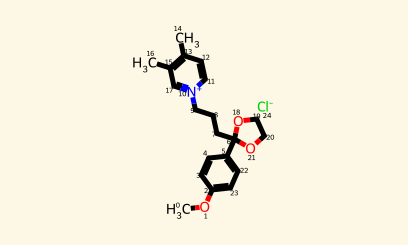 COc1ccc(C2(CCC[n+]3ccc(C)c(C)c3)OCCO2)cc1.[Cl-]